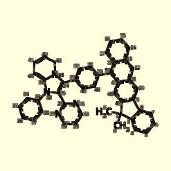 CC1(C)c2ccccc2-c2cc3cc4ccccc4c(-c4ccc(C5=C(c6ncccn6)N(c6ccccc6)C6=CC=CCN65)cc4)c3cc21